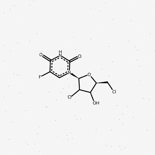 O=c1[nH]c(=O)n([C@H]2O[C@@H](CCl)C(O)C2Cl)cc1F